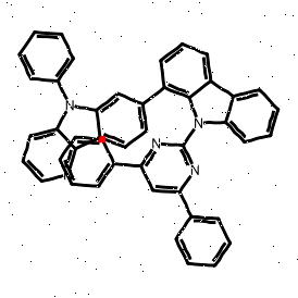 c1ccc(-c2cc(-c3ccccc3)nc(-n3c4ccccc4c4cccc(-c5ccc6c7ncccc7n(-c7ccccc7)c6c5)c43)n2)cc1